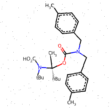 CCCC[C@](C)(OC(=O)N(Cc1ccc(C)cc1)Cc1ccc(C)cc1)N(C(=O)O)C(C)(C)C